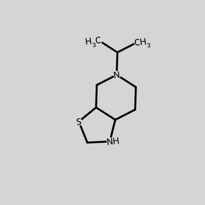 CC(C)N1CCC2NCSC2C1